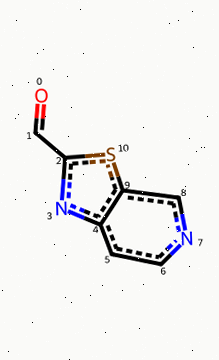 O=Cc1nc2ccncc2s1